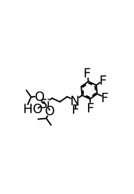 CC(C)O[Si](O)(CCCN(F)c1cc(F)c(F)c(F)c1F)OC(C)C